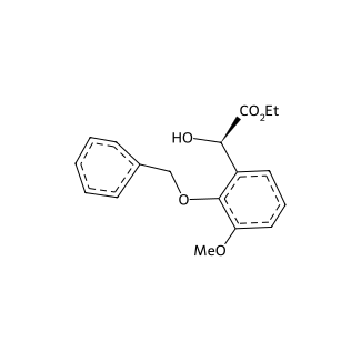 CCOC(=O)[C@H](O)c1cccc(OC)c1OCc1ccccc1